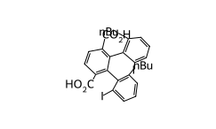 CCCCc1cccc(I)c1-c1c(C(=O)O)ccc(C(=O)O)c1-c1c(I)cccc1CCCC